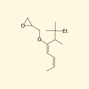 C/C=C\C=C(\OCC1CO1)C(C)C(C)(C)CC